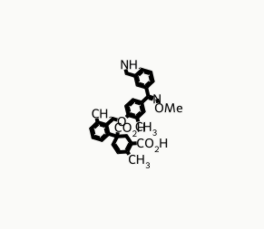 CON=C(c1cccc(CN)c1)c1ccc(OCc2c(C)cccc2C2(C(=O)O)C=CC(C)=C(C(=O)O)C2)c(C)c1